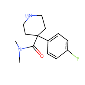 CN(C)C(=O)C1(c2ccc(F)cc2)CCNCC1